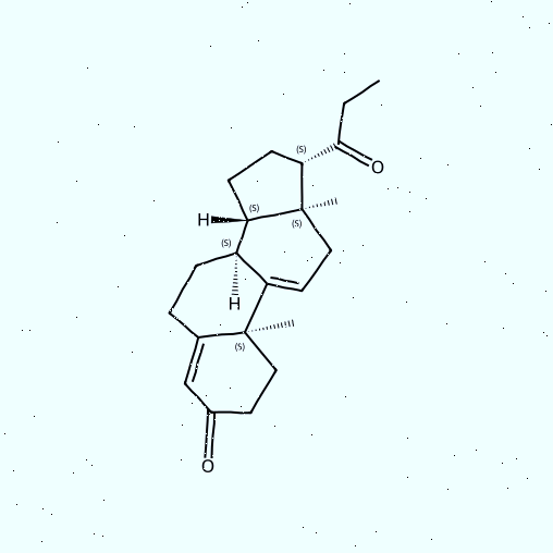 CCC(=O)[C@H]1CC[C@H]2[C@@H]3CCC4=CC(=O)CC[C@]4(C)C3=CC[C@]12C